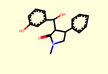 CN1CC(c2ccccc2)C(C(O)c2cccc(O)c2)C1=O